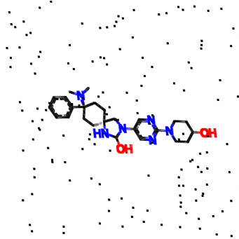 CN(C)[C@]1(c2ccccc2)CC[C@]2(CC1)CN(c1cnc(N3CCC(O)CC3)nc1)C(O)N2